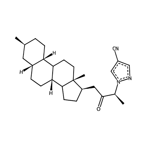 C[C@H]1CC[C@@H]2C3CC[C@@]4(C)C(CC[C@@H]4CC(=O)[C@H](C)n4cc(C#N)cn4)[C@@H]3CC[C@@H]2C1